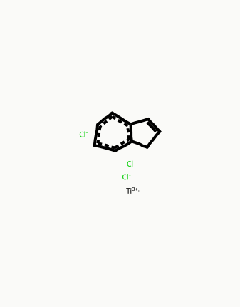 C1=Cc2ccccc2C1.[Cl-].[Cl-].[Cl-].[Ti+3]